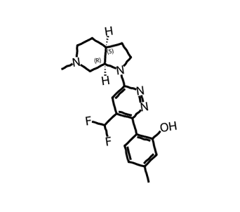 Cc1ccc(-c2nnc(N3CC[C@@H]4CCN(C)C[C@@H]43)cc2C(F)F)c(O)c1